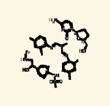 CC(C)NCC(O)c1ccc(NS(C)(=O)=O)cc1.Cc1ccc(/N=C/N(C)/C=N/c2ccc(C)cc2C)c(C)c1.Nc1ccn([C@H]2CC[C@@H](CO)O2)c(=O)n1